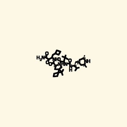 CC(C)[C@@H](CN1C[C@H](C)N[C@@H](C)C1)NC(=O)N[C@H](C(=O)N1CC2(C[C@H]1C(=O)NC(CC1CCC1)C(=O)C(N)=O)C(C)(C)C21CCC1)C(C)(C)C